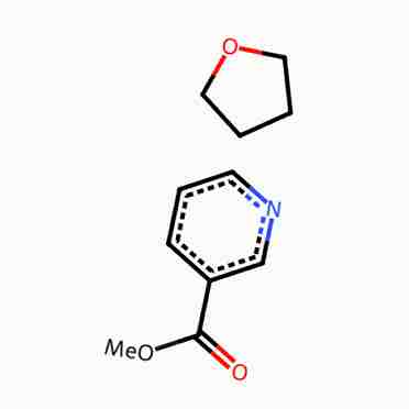 C1CCOC1.COC(=O)c1cccnc1